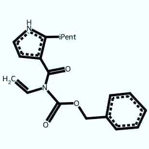 C=CN(C(=O)OCc1ccccc1)C(=O)c1cc[nH]c1C(C)CCC